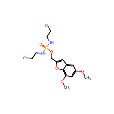 COc1cc(OC)c2oc(COP(=O)(NCCCl)NCCCl)cc2c1